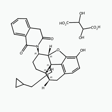 O=C(O)C(O)C(O)C(=O)O.O=C1Cc2ccccc2C(=O)N1[C@@H]1CC[C@@]2(O)[C@H]3Cc4ccc(O)c5c4[C@@]2(CCN3CC2CC2)[C@H]1O5